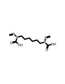 C=NN(CCCCCCN(N=C)C(=O)O)C(=O)O